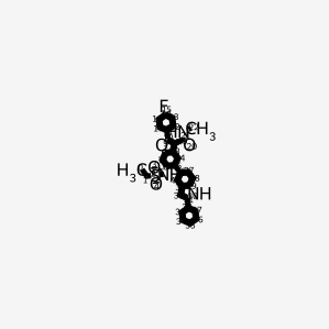 CCS(=O)(=O)Nc1cc2oc(-c3ccc(F)cc3)c(C(=O)NC)c2cc1-c1ccc2[nH]c(-c3ccccc3)cc2c1